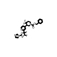 O=C(OCc1ccccc1)N1CCC(F)(F)C(c2ccnc(C(F)(OC(=S)n3ccnc3)C(F)F)c2)C1